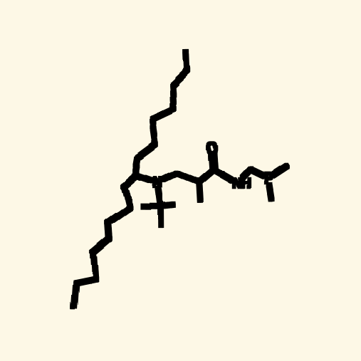 CCCCCCCCC(CCCCCCC)N(CC(C)C(=O)NCP(C)C)C(C)(C)C